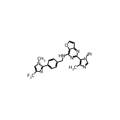 Cc1ncn(C(C)C)c1-c1nc(NCc2ccc(-c3nc(C(F)(F)F)cn3C)cc2)c2occc2n1